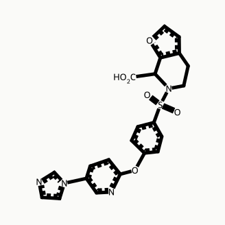 O=C(O)C1c2occc2CCN1S(=O)(=O)c1ccc(Oc2ccc(-n3ccnc3)cn2)cc1